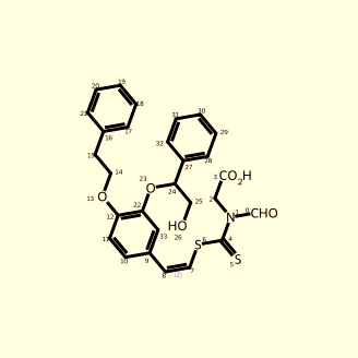 O=CN(CC(=O)O)C(=S)S/C=C\c1ccc(OCCc2ccccc2)c(OC(CO)c2ccccc2)c1